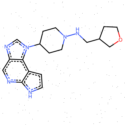 c1cc2c(ncc3ncn(C4CCN(NCC5CCOC5)CC4)c32)[nH]1